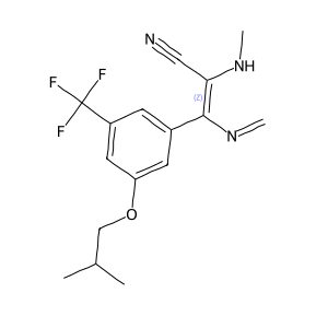 C=N/C(=C(/C#N)NC)c1cc(OCC(C)C)cc(C(F)(F)F)c1